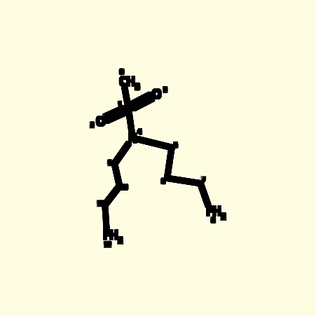 CS(=O)(=O)N(CCCP)CCCP